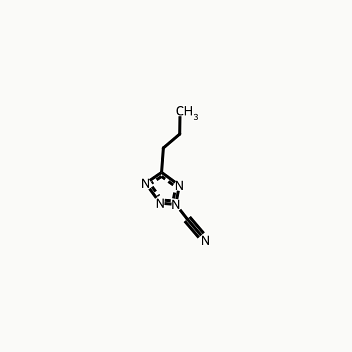 CCCc1nnn(C#N)n1